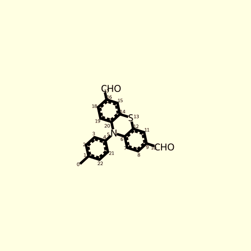 Cc1ccc(N2c3ccc(C=O)cc3Sc3cc(C=O)ccc32)cc1